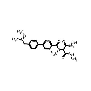 CNC(=O)C(C(=O)NO)N(C)C(=O)c1ccc(-c2ccc(CN(C)OC)cc2)cc1